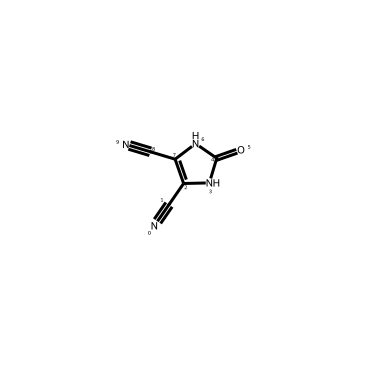 N#Cc1[nH]c(=O)[nH]c1C#N